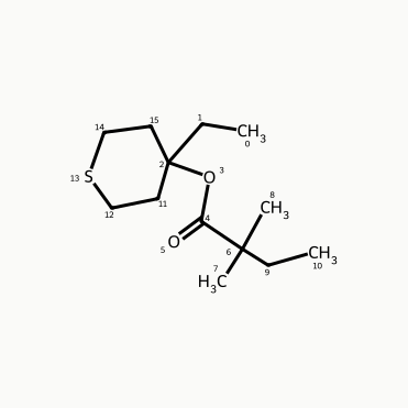 CCC1(OC(=O)C(C)(C)CC)CCSCC1